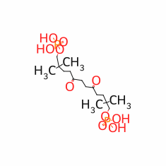 CC(C)(CCC(=O)CCC(=O)CCC(C)(C)COP(=O)(O)O)COP(=O)(O)O